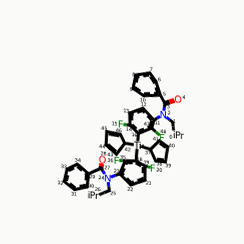 CC(C)CN(C(=O)c1ccccc1)c1ccc(F)[c]([Ti]([c]2c(F)ccc(N(CC(C)C)C(=O)c3ccccc3)c2F)([CH]2C=CC=C2)[CH]2C=CC=C2)c1F